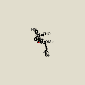 CO[C@@H](C[C@@H]1CC[C@@H](C)[C@](O)(C(=O)C(=O)N2CCCC[C@H]2C(=O)O[C@@H](C/C=C(\C)C=O)[C@H](C)C[C@H]2CC[C@H](O)CC2)O1)/C(C)=C/C=C/C=C/[C@@H](C)C[C@@H](C)C(=O)CO